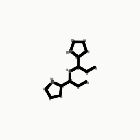 CCC(SC(CC)C1CCCO1)C1CCCO1